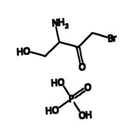 NC(CO)C(=O)CBr.O=P(O)(O)O